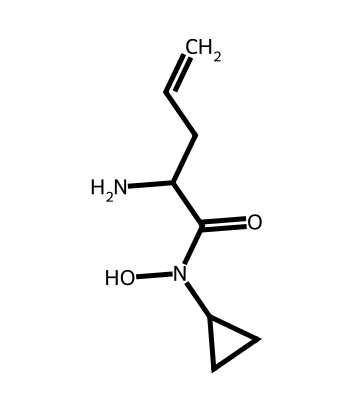 C=CCC(N)C(=O)N(O)C1CC1